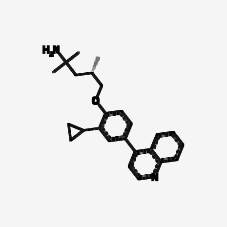 C[C@H](COc1ccc(-c2ccnc3ccccc23)cc1C1CC1)CC(C)(C)N